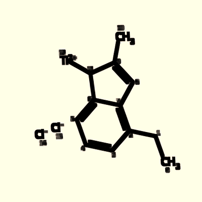 CCc1cccc2c1C=C(C)[CH]2[Ti+2].[Cl-].[Cl-]